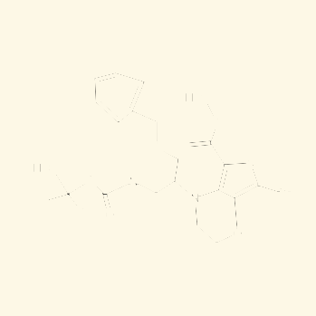 COC(=O)c1sc(Br)c2c1N(C(CNC(=O)OC(C)(C)C)COCc1ccccc1)CCO2